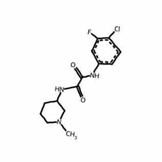 CN1CCCC(NC(=O)C(=O)Nc2ccc(Cl)c(F)c2)C1